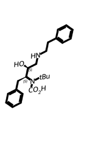 CC(C)(C)N(C(=O)O)[C@@H](Cc1ccccc1)[C@@H](O)CNCCc1ccccc1